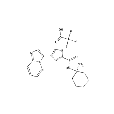 NC1(NC(=O)c2cc(-c3cnc4cccnn34)cs2)CCCCC1.O=C(O)C(F)(F)F